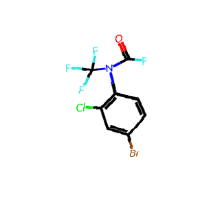 O=C(F)N(c1ccc(Br)cc1Cl)C(F)(F)F